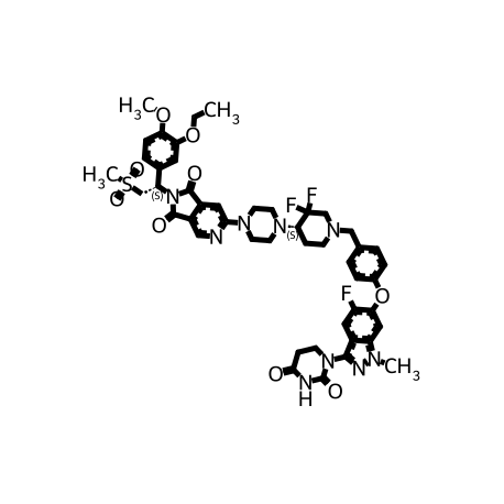 CCOc1cc([C@@H](CS(C)(=O)=O)N2C(=O)c3cnc(N4CCN([C@H]5CCN(Cc6ccc(Oc7cc8c(cc7F)c(N7CCC(=O)NC7=O)nn8C)cc6)CC5(F)F)CC4)cc3C2=O)ccc1OC